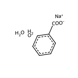 O.O.O=C([O-])c1ccccc1.[Na+]